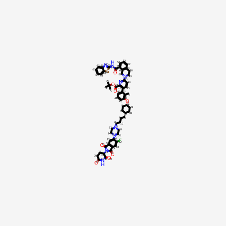 Cc1c(O[C@H]2CC[C@H](CCCCN3CCN(c4cc5c(cc4F)C(=O)N(C4CCC(=O)NC4=O)C5=O)CC3)CC2)cccc1-c1ccc(N2CCc3cccc(C(=O)Nc4nc5ccccc5s4)c3C2)nc1C(=O)OC(C)(C)C